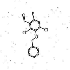 O=Cc1c(F)cc(Cl)c(OCc2ccccc2)c1Cl